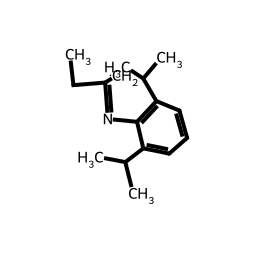 [CH2]C(CC)=Nc1c(C(C)C)cccc1C(C)C